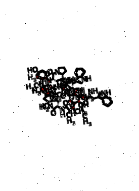 CCCC[C@@H](C(=O)N(C)[C@@H](CCCC)C(=O)N[C@@H](C)C(=O)N[C@@H](CSCC(=O)N[C@@H](Cc1ccc(O)cc1)C(=O)N(C)[C@@H](C)C(=O)N[C@@H](CCC(=O)O)C(=O)N1CCC[C@H]1C(=O)N[C@@H](CN)C(=O)N[C@@H](CC(C)C)C(=O)N1C[C@H](O)C[C@H]1C(C)=O)C(N)=O)N(C)C(=O)[C@H](Cc1c[nH]c2ccccc12)NC(=O)[C@H](CO)NC(=O)[C@@H](N)Cc1c[nH]c2ccccc12